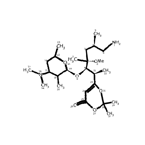 CO[C@](C)(C[C@@H](C)CN)[C@H](O[C@@H]1OC(C)CC(N(C)C)C1C)[C@@H](C)C1=CC(=O)OC(C)(C)O1